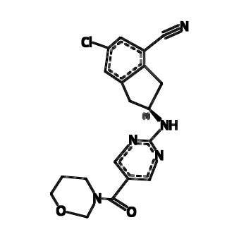 N#Cc1cc(Cl)cc2c1C[C@@H](Nc1ncc(C(=O)N3CCCOC3)cn1)C2